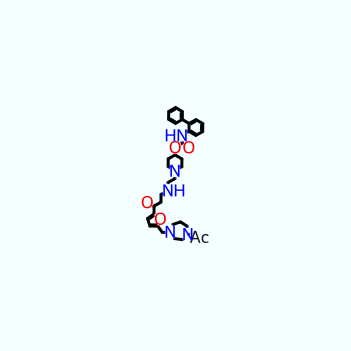 CC(=O)N1CCCN(Cc2ccc(C(=O)CCNCCN3CCC(OC(=O)Nc4ccccc4-c4ccccc4)CC3)o2)CC1